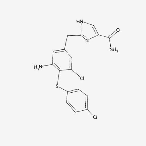 NC(=O)c1c[nH]c(Cc2cc(N)c(Sc3ccc(Cl)cc3)c(Cl)c2)n1